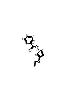 CCSc1ccn(OC(=O)c2ccccn2)c1